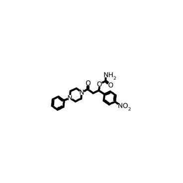 NC(=O)OC(CC(=O)N1CCN(c2ccccc2)CC1)c1ccc([N+](=O)[O-])cc1